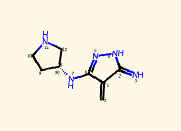 C=C1C(=N)NN=C1N[C@@H]1CCNC1